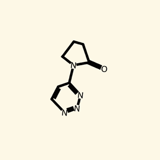 O=C1CCCN1c1ccnnn1